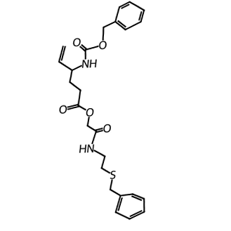 C=CC(CCC(=O)OCC(=O)NCCSCc1ccccc1)NC(=O)OCc1ccccc1